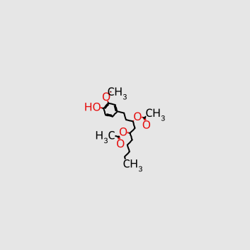 CCCCCC(CC(CCc1ccc(O)c(OC)c1)OC(C)=O)OC(C)=O